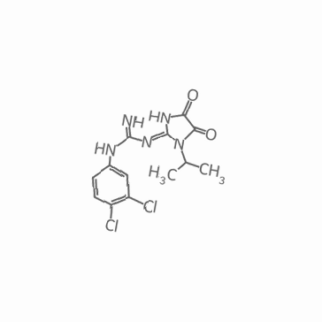 CC(C)N1C(=O)C(=O)N/C1=N\C(=N)Nc1ccc(Cl)c(Cl)c1